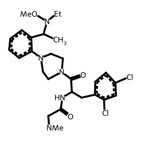 CCN(OC)C(C)c1ccccc1N1CCN(C(=O)C(Cc2ccc(Cl)cc2Cl)NC(=O)CNC)CC1